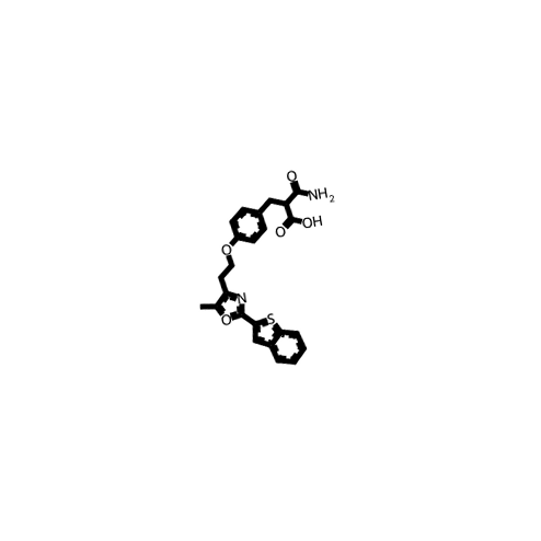 Cc1oc(-c2cc3ccccc3s2)nc1CCOc1ccc(CC(C(N)=O)C(=O)O)cc1